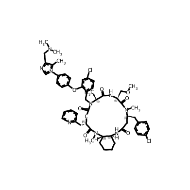 COC[C@@H]1NC(=O)[C@H](C)N(Cc2ccc(Cl)cc2Oc2ccc(-n3cnc(CN(C)C)c3C)cc2)C(=O)C[C@@H](Cc2ccccn2)C(=O)N(C)[C@H]2CCCC[C@@H]2NC(=O)C[C@H](Cc2ccc(Cl)cc2)N(C)C1=O